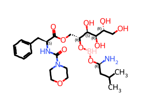 CC(C)C[C@H](N)OBO[C@H](COC(=O)[C@H](Cc1ccccc1)NC(=O)N1CCOCC1)[C@@H](O)[C@H](O)[C@H](O)CO